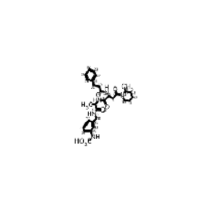 CC(NC(=O)C(CC(=O)N1CCCC[C@@H]1C)NC(=O)CCc1ccccc1)C(=O)NCc1cccc(NC(=O)O)c1